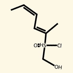 C/C=C\C=C(/C)[SH](=O)(Cl)CO